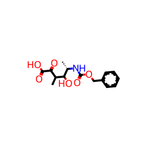 CC(C(=O)C(=O)O)C(O)[C@H](C)NC(=O)OCc1ccccc1